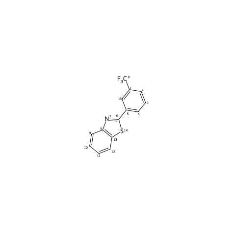 FC(F)(F)c1cccc(-c2nc3[c]cccc3s2)c1